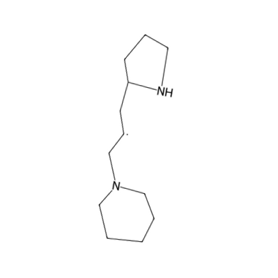 [CH](CC1CCCN1)CN1CCCCC1